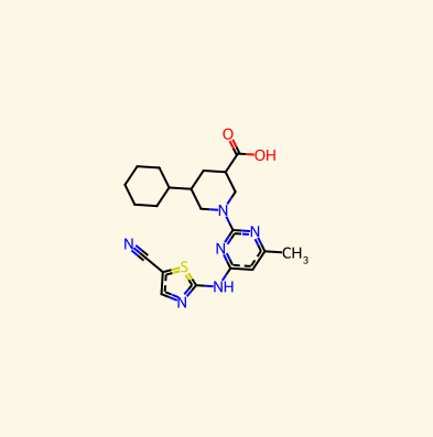 Cc1cc(Nc2ncc(C#N)s2)nc(N2CC(C(=O)O)CC(C3CCCCC3)C2)n1